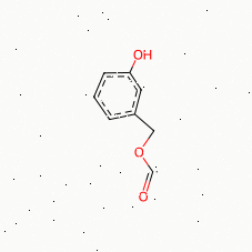 O=[C]OCc1cccc(O)c1